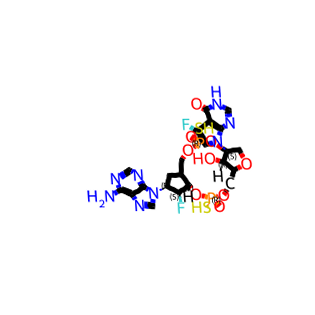 Nc1ncnc2c1ncn2[C@@H]1CC2CO[P@@](=O)(S)O[C@@]3(n4cc(F)c5c(=O)[nH]cnc54)COC(CO[P@@](=O)(S)O[C@H]2[C@H]1F)[C@H]3O